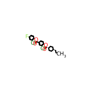 CCC[C@H]1CC[C@H](C(=O)Oc2ccc(C(=O)Oc3ccc(F)cc3Cl)cc2Cl)CC1